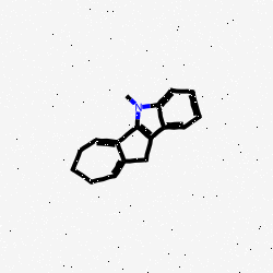 Cn1c2c(c3ccccc31)CC1=CCCCC=C12